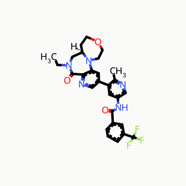 CCN1C[C@H]2CCOCCN2c2cc(-c3cc(NC(=O)c4cccc(C(F)(F)F)c4)cnc3C)cnc2C1=O